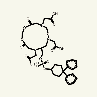 O=C(O)CN1CCN(CC(=O)O)CC(COP(=O)(O)OC2CCC(c3ccccc3)(c3ccccc3)CC2)N(CC(=O)O)CC(=O)OCOC(=O)C1